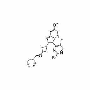 COc1cnn2c(-c3nc(Br)ncc3F)c(C3CC(OCc4ccccc4)C3)nc2c1